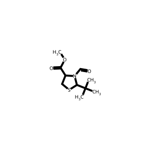 COC(=O)C1CSC(C(C)(C)C)N1C=O